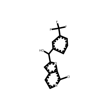 OC(c1cccc(C(F)(F)F)c1)c1cc2ccnc(Cl)c2o1